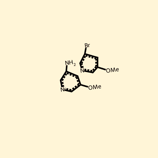 COc1cncc(Br)c1.COc1cncc(N)c1